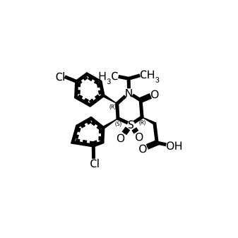 CC(C)N1C(=O)[C@@H](CC(=O)O)S(=O)(=O)[C@@H](c2cccc(Cl)c2)[C@H]1c1ccc(Cl)cc1